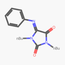 CCCCN1C(=O)C(=Nc2ccccc2)N(CCCC)C1=O